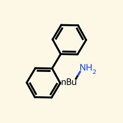 CCCCN.c1ccc(-c2ccccc2)cc1